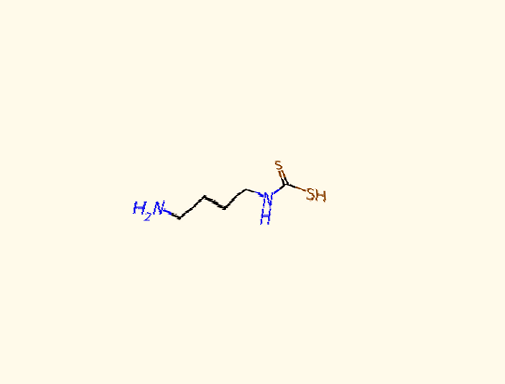 NCCCCNC(=S)S